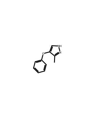 Cc1n[nH][c]c1Oc1ccccc1